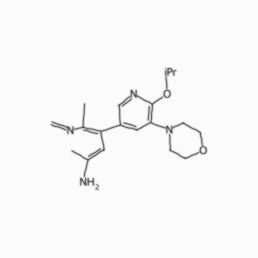 C=N/C(C)=C(\C=C(/C)N)c1cnc(OC(C)C)c(N2CCOCC2)c1